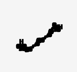 O=C1NC(=O)C(Cc2ccc(OCCCCCOc3cccc(OCCCCCOc4ccc(CC5SC(=O)NC5=O)cc4)c3)cc2)S1